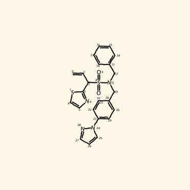 C=CC(c1nccs1)S(=O)(=O)N(Cc1ccccc1)Cc1ccc(-n2cccn2)cc1